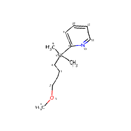 COCCC[Si](C)(C)c1ccccn1